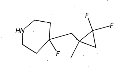 CC1(CC2(F)CCNCC2)CC1(F)F